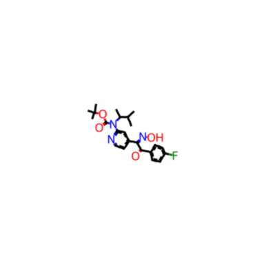 CC(C)C(C)N(C(=O)OC(C)(C)C)c1cc(C(=NO)C(=O)c2ccc(F)cc2)ccn1